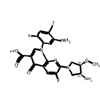 CO[C@@H]1CN(c2nc3c(cc2F)c(=O)c(C(=O)O)cn3-c2cc(N)c(F)cc2F)C[C@@H]1N